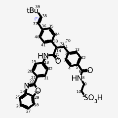 C[C@H](c1ccc(C(=O)NCCS(=O)(=O)O)cc1)C(C(=O)Nc1ccc(-c2nc3ccccc3o2)cc1)c1ccc(/C=C/C(C)(C)C)cc1